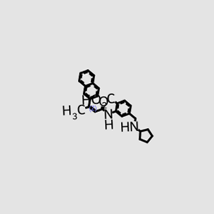 C/C(=C/C(=O)Nc1cc(CNC2CCCC2)ccc1C(=O)O)c1ccc2ccccc2c1